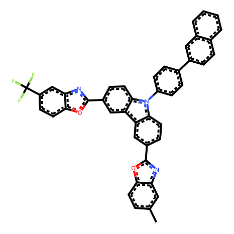 Cc1ccc2oc(-c3ccc4c(c3)c3cc(-c5nc6cc(C(F)(F)F)ccc6o5)ccc3n4-c3ccc(-c4ccc5ccccc5c4)cc3)nc2c1